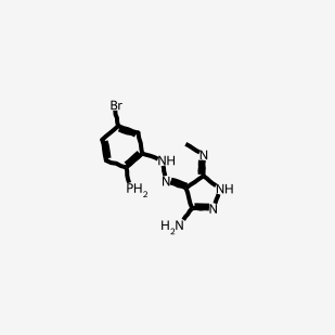 C/N=C1/NN=C(N)/C1=N/Nc1cc(Br)ccc1P